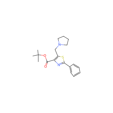 CC(C)(C)OC(=O)c1nc(-c2ccccc2)sc1CN1CCCC1